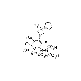 CC(C)(C)N1C(N2CC(C)(N3CCCC3)C2)=C(F)C(N(C(=O)O)N(C(=O)O)C(=O)O)N(C(C)(C)C)C1(Cl)C(C)(C)C